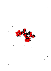 C1=CC2C(C=C1c1ccc(-c3cc(-c4ccccc4)nc(-c4ccc5c(c4)Oc4ccccc4C54c5ccccc5-c5ccccc54)n3)c3ccccc13)c1ccccc1C21c2ccccc2Oc2cc(-c3nc(-c4ccccc4)cc(-c4ccccn4)n3)ccc21